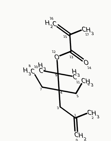 C=C(C)CC(CC)(CC)C(C)(C)OC(=O)C(=C)C